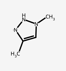 CC1=CN(C)N[N]1